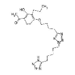 CCCc1c(OCCCCc2nnn(CCCCCc3nnn[nH]3)n2)ccc(C(C)=O)c1O